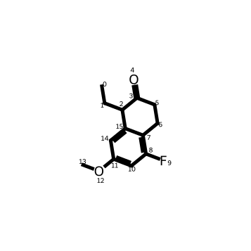 CCC1C(=O)CCc2c(F)cc(OC)cc21